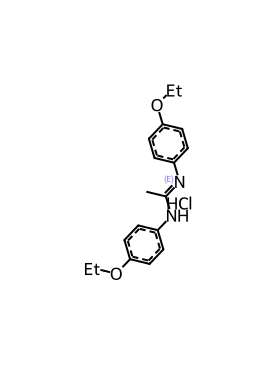 CCOc1ccc(/N=C(\C)Nc2ccc(OCC)cc2)cc1.Cl